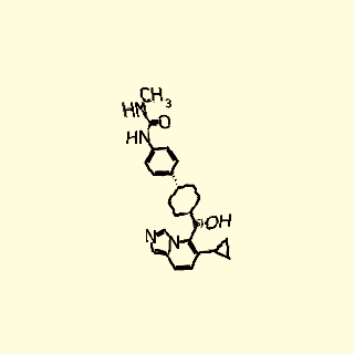 CNC(=O)Nc1ccc([C@H]2CC[C@H]([C@H](O)c3c(C4CC4)ccc4cncn34)CC2)cc1